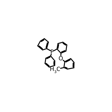 Cc1ccccc1Oc1ccccc1P(c1ccccc1)c1ccccc1